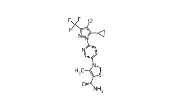 CC1=C(C(N)=O)SCN1c1ccc(-n2nc(C(F)(F)F)c(Cl)c2C2CC2)nc1